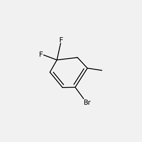 CC1=C(Br)C=CC(F)(F)C1